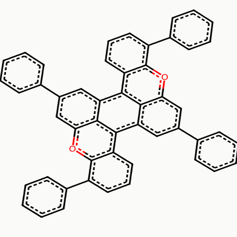 c1ccc(-c2cc3oc4c(-c5ccccc5)cccc4c4c5cc(-c6ccccc6)cc6oc7c(-c8ccccc8)cccc7c(c(c2)c34)c65)cc1